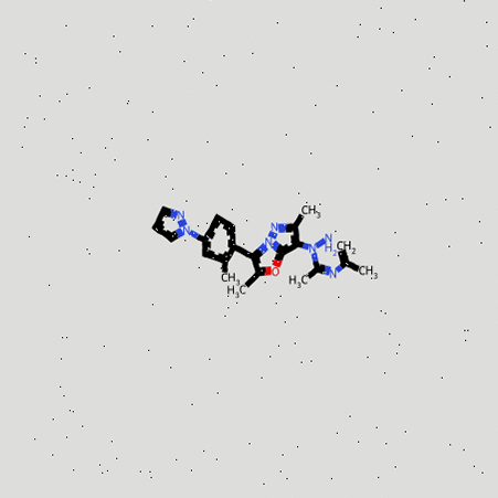 C=C(C)/N=C(/C)N(N)c1c(C)nn2c(-c3ccc(-n4cccn4)cc3C)c(C)oc12